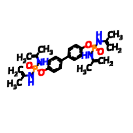 C=C(C)NP(=O)(NC(=C)C)Oc1ccc(-c2ccc(OP(=O)(NC(=C)C)NC(=C)C)cc2)cc1